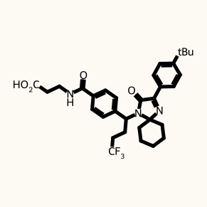 CC(C)(C)c1ccc(C2=NC3(CCCCC3)N(C(CCC(F)(F)F)c3ccc(C(=O)NCCC(=O)O)cc3)C2=O)cc1